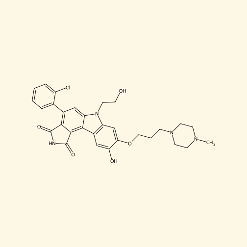 CN1CCN(CCCOc2cc3c(cc2O)c2c4c(c(-c5ccccc5Cl)cc2n3CCO)C(=O)NC4=O)CC1